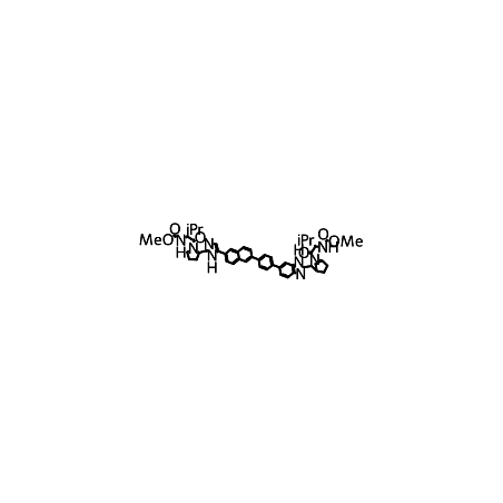 COC(=O)NC(C(=O)N1CCCC1c1ncc(-c2ccc3cc(-c4ccc(-c5ccc6nc(C7C8CCC(C8)N7C(=O)C(NC(=O)OC)C(C)C)[nH]c6c5)cc4)ccc3c2)[nH]1)C(C)C